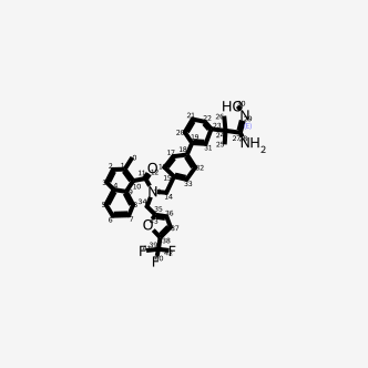 Cc1ccc2ccccc2c1C(=O)N(Cc1ccc(-c2cccc(C(C)(C)/C(N)=N\O)c2)cc1)Cc1ccc(C(F)(F)F)o1